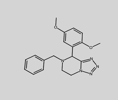 COc1ccc(OC)c(C2c3nnnn3CCN2Cc2ccccc2)c1